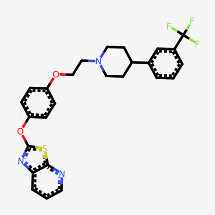 FC(F)(F)c1cccc(C2CCN(CCOc3ccc(Oc4nc5cccnc5s4)cc3)CC2)c1